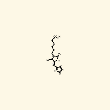 O=C(O)CCCCCN1C(=O)/C(=C/c2cccs2)SC1S